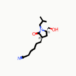 CC(C)CN1C(=O)[C@H](CCCCCC#N)C[C@H]1CO